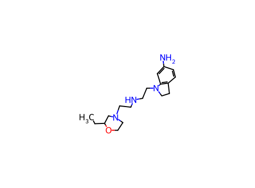 CCC1CN(CCNCCN2CCc3ccc(N)cc32)CCO1